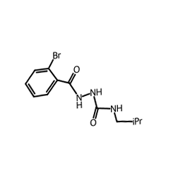 CC(C)CNC(=O)NNC(=O)c1ccccc1Br